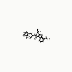 CCOc1cccn2c(C(=O)N[C@@H](CO)Cc3c[nH]cn3)c(C)nc12